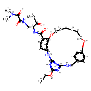 COC(=O)[C@H](CNC(=O)C(=O)N(C)C)NC(=O)c1ccc2cc1OCCCCCCOc1ccc(cc1)CNc1nc(nc(OCC(F)(F)F)n1)N2